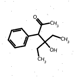 CCC(O)(CC)C(C(C)=O)c1ccccc1